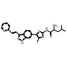 Cc1nc(NC(=O)C(N)CC(C)C)sc1-c1ccc2c(/C=C/c3ccccn3)n[nH]c2c1